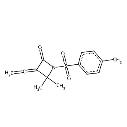 C=C=C1C(=O)N(S(=O)(=O)c2ccc(C)cc2)C1(C)C